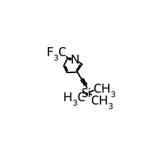 C[Si](C)(C)C#Cc1ccc(C(F)(F)F)nc1